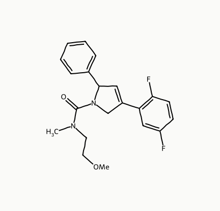 COCCN(C)C(=O)N1CC(c2cc(F)ccc2F)=CC1c1ccccc1